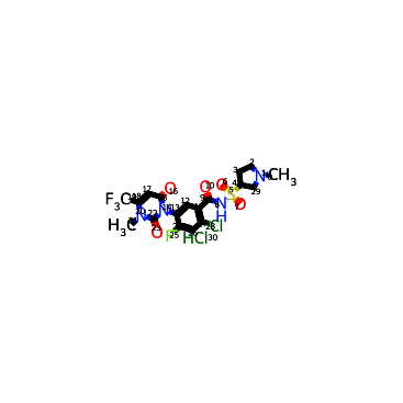 CN1CCC(S(=O)(=O)NC(=O)c2cc(-n3c(=O)cc(C(F)(F)F)n(C)c3=O)c(F)cc2Cl)C1.Cl